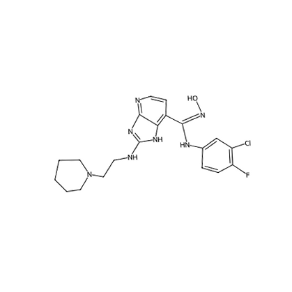 O/N=C(/Nc1ccc(F)c(Cl)c1)c1ccnc2nc(NCCN3CCCCC3)[nH]c12